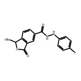 CCCCC1OC(=O)c2cc(C(=O)NNc3ccc(F)cc3)ccc21